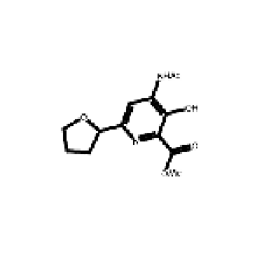 COC(=O)c1nc(C2CCCO2)cc(NC(C)=O)c1O